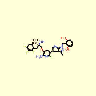 Cc1nn(Cc2c(O)cccc2O)c2ncc(-c3cc(OC[C@@](Cc4ccc(F)c(F)c4F)(NC(=O)O)C(C)(C)C)c(N)nc3Cl)cc12